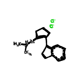 C[SiH](C)[Zr+2][C]1=C(C2C=Cc3ccccc32)C=CC1.[Cl-].[Cl-]